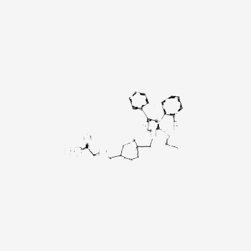 CCSc1c(-c2ccccc2F)c(-c2ccccc2)nn1CC1CCC(COCC(=O)O)CC1